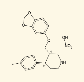 Fc1ccc([C@@H]2CCNC[C@H]2COc2ccc3c(c2)OCO3)cc1.O=[N+]([O-])O